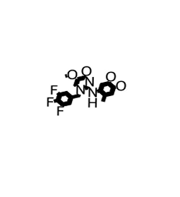 COc1cc(C)c(Nc2nc(=O)c(OC)cn2Cc2cc(F)c(F)c(F)c2)cc1OC